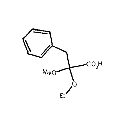 CCOC(Cc1ccccc1)(OC)C(=O)O